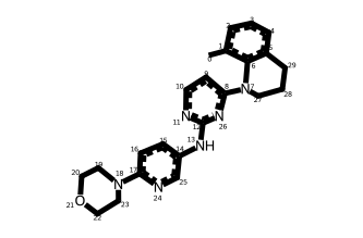 Cc1cccc2c1N(c1ccnc(Nc3ccc(N4CCOCC4)nc3)n1)CCC2